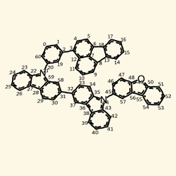 c1cc(-c2ccc3c4c(cccc24)-c2ccccc2-3)cc(-n2c3ccccc3c3ccc(-c4ccc5c(c4)c4ccccc4n5-c4ccc5oc6ccccc6c5c4)cc32)c1